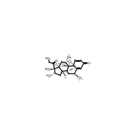 CC(=O)O[C@]1(C(=O)CO)[C@@H](C)C[C@H]2[C@@H]3C[C@H](C)C4=CC(=O)C=C[C@]4(C)[C@@]3(Cl)[C@@H](O)C[C@@]21C